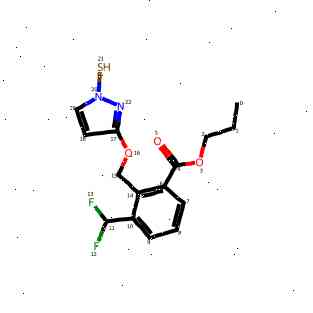 CCCOC(=O)c1cccc(C(F)F)c1COc1ccn(S)n1